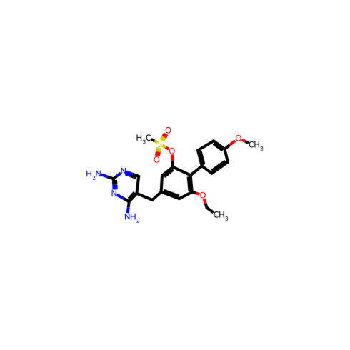 CCOc1cc(Cc2cnc(N)nc2N)cc(OS(C)(=O)=O)c1-c1ccc(OC)cc1